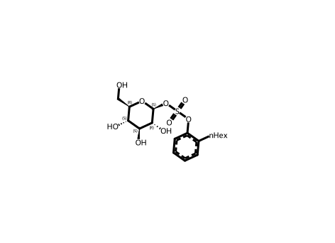 CCCCCCc1ccccc1OS(=O)(=O)O[C@@H]1O[C@H](CO)[C@@H](O)[C@H](O)[C@H]1O